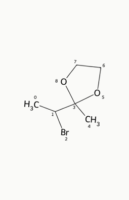 CC(Br)C1(C)OCCO1